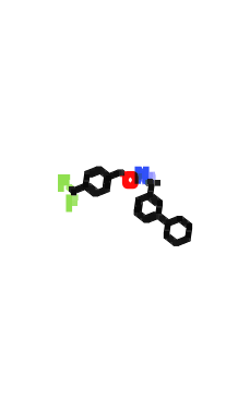 FC(F)c1ccc(CO/N=[C]\c2cccc(C3CCCCC3)c2)cc1